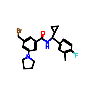 Cc1cc([C@@H](NC(=O)c2cc(CBr)cc(N3CCCC3)c2)C2CC2)ccc1F